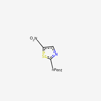 CCCCCc1ncc([N+](=O)[O-])s1